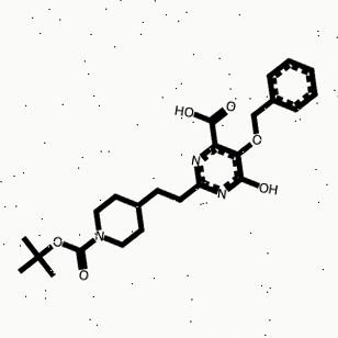 CC(C)(C)OC(=O)N1CCC(CCc2nc(O)c(OCc3ccccc3)c(C(=O)O)n2)CC1